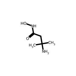 CC(C)(N)CC(=O)NO